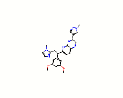 COc1cc(OC)cc(C(Cc2nccn2C)c2ccc3ncc(-c4cnn(C)c4)nc3n2)c1